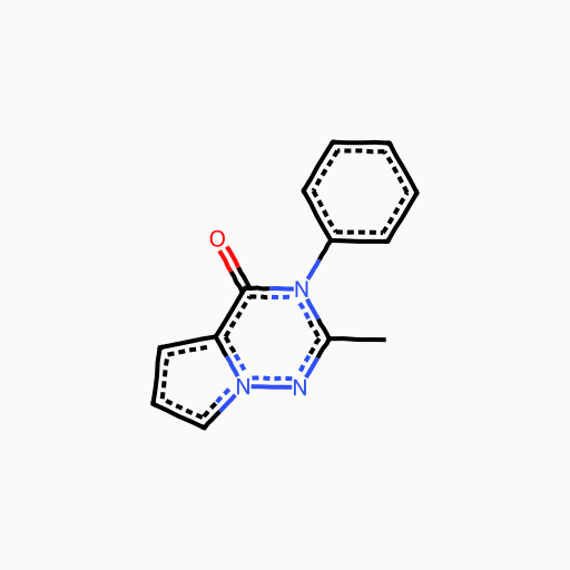 Cc1nn2cccc2c(=O)n1-c1ccccc1